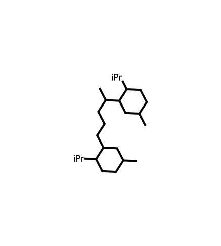 CC1CCC(C(C)C)C(CCCC(C)C2CC(C)CCC2C(C)C)C1